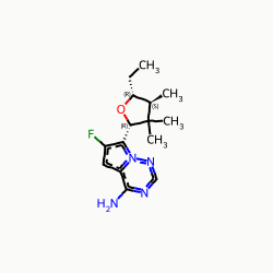 CC[C@H]1O[C@@H](c2c(F)cc3c(N)ncnn23)C(C)(C)[C@@H]1C